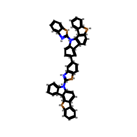 c1ccc2sc(-n3c4ccc(-c5ccc6sc(-n7c8ccccc8c8c9sc%10ccccc%10c9ccc87)nc6c5)cc4c4ccc5sc6ccccc6c5c43)nc2c1